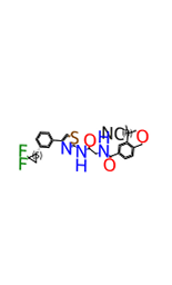 C[C@@]1(C#N)COCc2ccc(C(=O)NCC(=O)Nc3nc(-c4cccc([C@@H]5CC5(F)F)c4)cs3)cc21